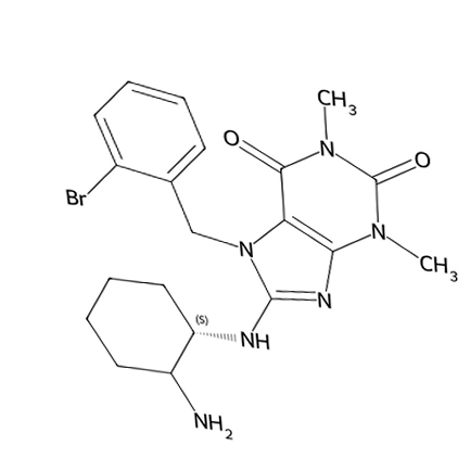 Cn1c(=O)c2c(nc(N[C@H]3CCCCC3N)n2Cc2ccccc2Br)n(C)c1=O